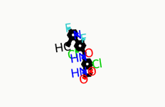 C#Cc1cc(F)cnc1-c1cc(Cl)c(C(=O)Nc2cc(Cl)c3c(c2)NC(=O)CO3)cc1F